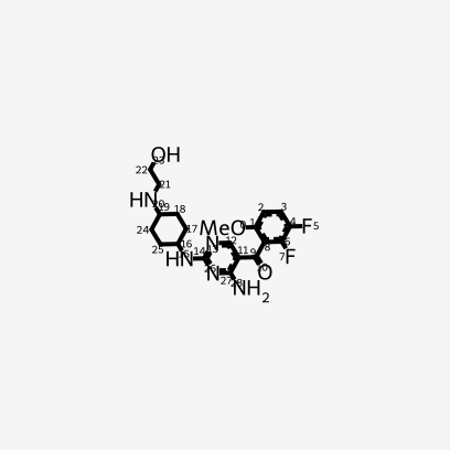 COc1ccc(F)c(F)c1C(=O)c1cnc(NC2CCC(NCCO)CC2)nc1N